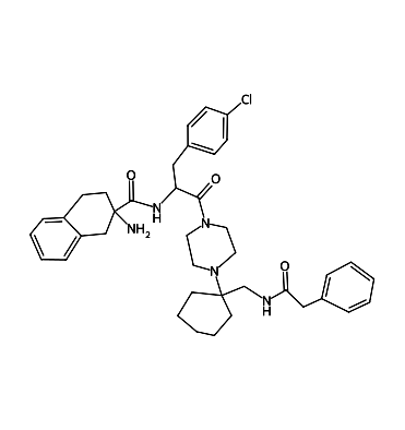 NC1(C(=O)NC(Cc2ccc(Cl)cc2)C(=O)N2CCN(C3(CNC(=O)Cc4ccccc4)CCCCC3)CC2)CCc2ccccc2C1